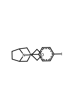 Ic1ccc(N2CC3CCC(C2)N3C2COC2)cc1